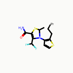 CC(C)CCc1sccc1N1C(C(F)F)=C(C(N)=O)SC1C